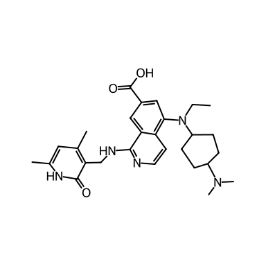 CCN(c1cc(C(=O)O)cc2c(NCc3c(C)cc(C)[nH]c3=O)nccc12)C1CCC(N(C)C)CC1